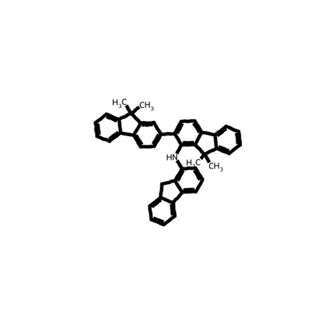 CC1(C)c2ccccc2-c2ccc(-c3ccc4c(c3Nc3cccc5c3Cc3ccccc3-5)C(C)(C)c3ccccc3-4)cc21